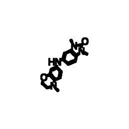 CN1CCOc2cc(Nc3ccc4c(c3)n(C)c(=O)n4C)ccc21